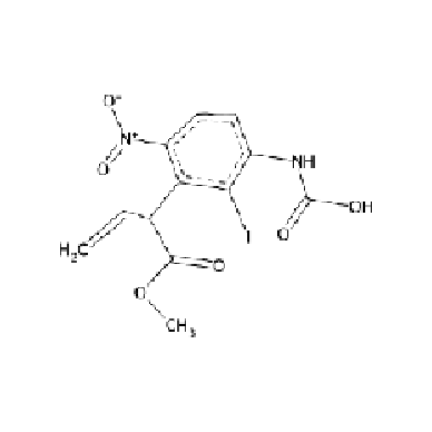 C=CC(C(=O)OC)c1c([N+](=O)[O-])ccc(NC(=O)O)c1I